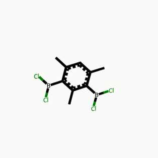 Cc1cc(C)c(B(Cl)Cl)c(C)c1B(Cl)Cl